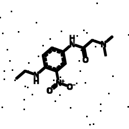 CCNc1ccc(NC(=O)CN(C)C)cc1[N+](=O)[O-]